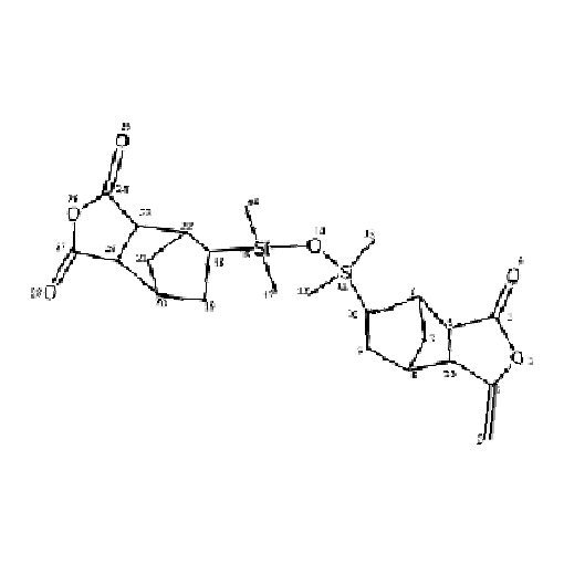 C=C1OC(=O)C2C3CC(CC3[Si](C)(C)O[Si](C)(C)C3CC4CC3C3C(=O)OC(=O)C43)C12